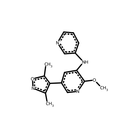 COc1ncc(-c2c(C)noc2C)cc1Nc1cccnc1